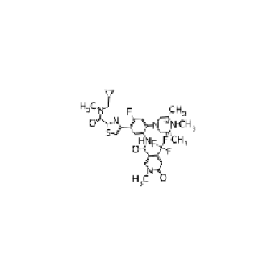 C[C@@H]1CN(c2cc(F)c(-c3csc(C(=O)N(C)CC4CC4)n3)cc2NC(=O)c2cn(C)c(=O)cc2C(F)(F)F)C[C@H](C)N1C